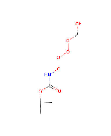 CC(C)(C)OC(=O)NOOOOCO